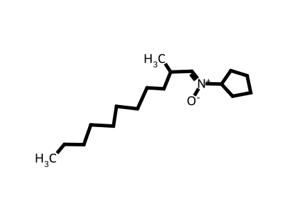 CCCCCCCCCC(C)C=[N+]([O-])C1CCCC1